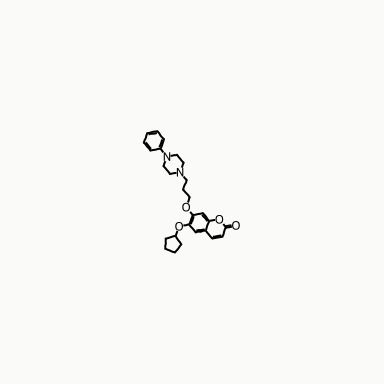 O=c1ccc2cc(OC3CCCC3)c(OCCCN3CCN(c4ccccc4)CC3)cc2o1